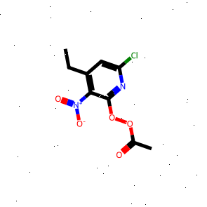 CCc1cc(Cl)nc(OOC(C)=O)c1[N+](=O)[O-]